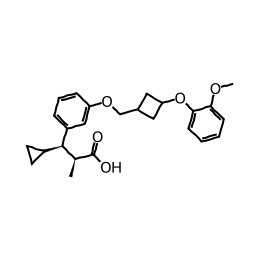 COc1ccccc1OC1CC(COc2cccc([C@H](C3CC3)[C@H](C)C(=O)O)c2)C1